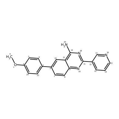 COc1ccc(-c2ccc3nc(-c4cccnc4)nc(N)c3c2)cc1